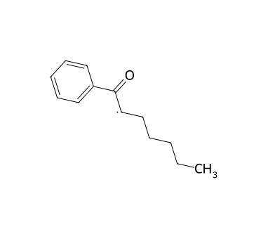 CCCCC[CH]C(=O)c1ccccc1